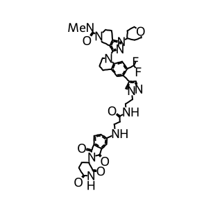 CNC(=O)N1CCc2c(c(N3CCCc4cc(-c5cnn(CCNC(=O)CCNc6ccc7c(c6)C(=O)N(C6CCC(=O)NC6=O)C7=O)c5)c(C(F)F)cc43)nn2C2CCOCC2)C1